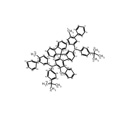 Cc1ccc(N(c2ccc(C(C)(C)C)cc2)c2ccc3c(c2)C2(c4ccccc4-c4ccccc42)c2cc(N(c4ccc(C(C)(C)C)cc4)c4ccc(C)c(-c5ccccc5)c4)c4oc5ccccc5c4c2-3)cc1-c1ccccc1